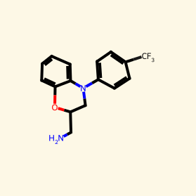 NCC1CN(c2ccc(C(F)(F)F)cc2)c2ccccc2O1